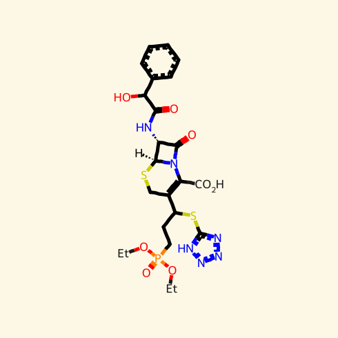 CCOP(=O)(CCC(Sc1nnn[nH]1)C1=C(C(=O)O)N2C(=O)[C@@H](NC(=O)C(O)c3ccccc3)[C@@H]2SC1)OCC